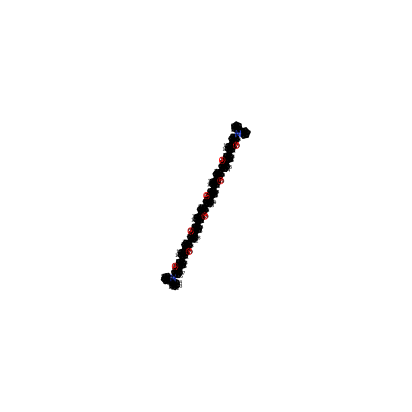 c1ccc2c(c1)c1ccccc1n2-c1ccc2c(c1)oc1cc(-c3ccc4c(c3)oc3cc(-c5ccc6c(c5)oc5cc(-c7ccc8c(c7)oc7cc(-c9ccc%10c(c9)oc9cc(-c%11ccc%12c(c%11)oc%11cc(-c%13ccc%14c(c%13)oc%13cc(-c%15ccc%16c(c%15)oc%15cc(-n%17c%18ccccc%18c%18ccccc%18%17)ccc%15%16)ccc%13%14)ccc%11%12)ccc9%10)ccc78)ccc56)ccc34)ccc12